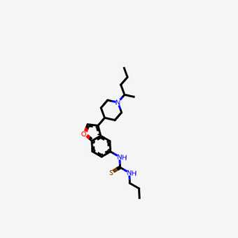 CCCNC(=S)Nc1ccc2occ(C3CCN(C(C)CCC)CC3)c2c1